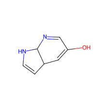 OC1=CC2C=CNC2N=C1